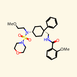 COCCN([C@H]1CC[C@](CNC(=O)c2ccccc2OC)(c2ccccc2)CC1)S(=O)(=O)N1CCOCC1